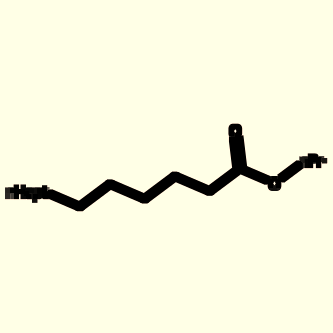 CC[CH]OC(=O)CCCCCCCCCCCC